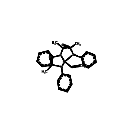 C=C[Si](N(C(C)=O)c1ccccc1)(N(C(C)=O)c1ccccc1)N(C(C)=O)c1ccccc1